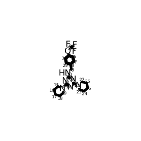 FC(F)(F)Oc1ccc(CNc2nc(N3CCCCC3)nc(N3CCCCC3)n2)cc1